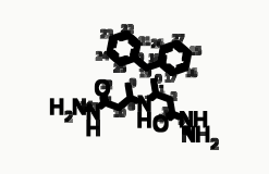 CC(CC(=O)NN)NC(C)CC(=O)NN.c1ccc(Cc2ccccc2)cc1